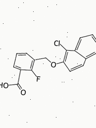 O=C(O)c1cccc(COc2ccc3ccccc3c2Cl)c1F